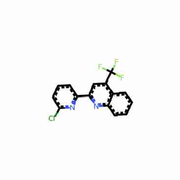 FC(F)(F)c1cc(-c2cccc(Cl)n2)nc2ccccc12